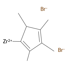 CC1=C(C)C(C)[C]([Zr+2])=C1C.[Br-].[Br-]